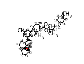 C[C@H]1CN(C(=O)OC(C)(C)CCCN2CCN(C)CC2)CCCN1c1cc(Cl)nc(-c2onc3c2CCC[C@@]32CCCCC23OCCO3)n1